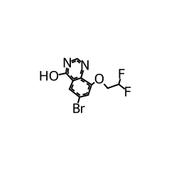 Oc1ncnc2c(OCC(F)F)cc(Br)cc12